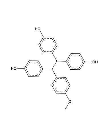 COc1ccc(C(c2ccc(O)cc2)C(c2ccc(O)cc2)c2ccc(O)cc2)cc1